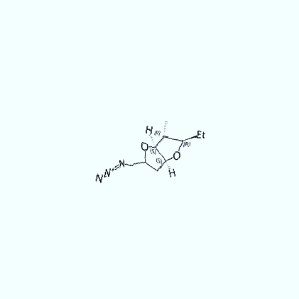 CC[C@H]1O[C@H]2CC(CN=[N+]=[N-])O[C@H]2[C@@H]1C